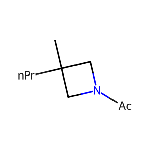 CCCC1(C)CN(C(C)=O)C1